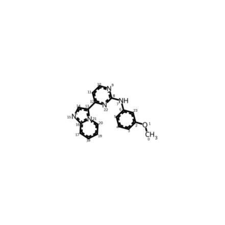 COc1cccc(Nc2nccc(-c3cnc4ccccn34)n2)c1